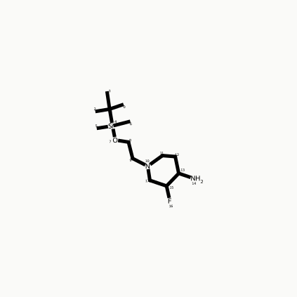 CC(C)(C)[Si](C)(C)OCCN1CCC(N)C(F)C1